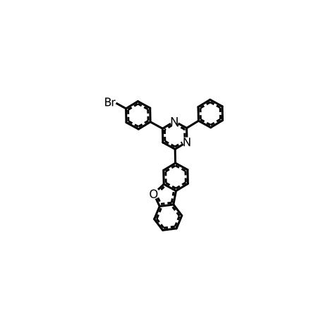 Brc1ccc(-c2cc(-c3ccc4c(c3)oc3ccccc34)nc(-c3ccccc3)n2)cc1